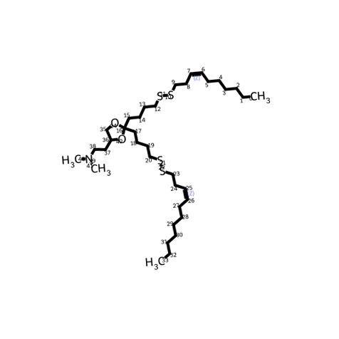 CCCCCC/C=C\CCSSCCCCC1(CCCCSSCC/C=C\CCCCCCC)OCC(CCN(C)C)O1